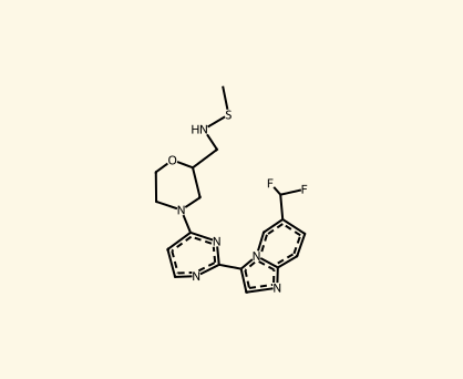 CSNCC1CN(c2ccnc(-c3cnc4ccc(C(F)F)cn34)n2)CCO1